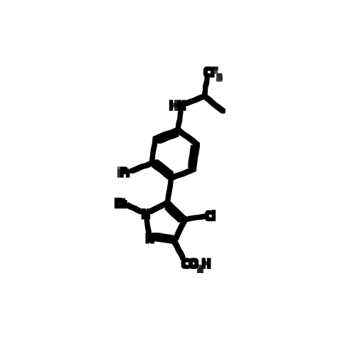 CCn1nc(C(=O)O)c(Cl)c1-c1ccc(NC(C)C(F)(F)F)cc1C(C)C